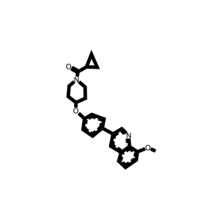 COc1cccc2cc(-c3ccc(OC4CCN(C(=O)C5CC5)CC4)cc3)cnc12